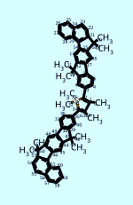 CC1=C(c2ccc3c(c2)C(C)(C)c2cc4c(cc2-3)C(C)(C)c2ccc3ccccc3c2-4)S(C)(C)C(c2ccc3c(c2)C(C)(C)c2cc4c(cc2-3)C(C)(C)c2ccc3ccccc3c2-4)=C1C